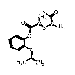 CC(C)Oc1ccccc1OC(=O)N(C)SN(C)C(=O)F